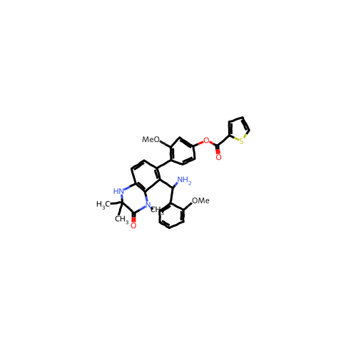 COc1cc(OC(=O)c2cccs2)ccc1-c1ccc2c(c1C(N)c1ccccc1OC)N(C)C(=O)C(C)(C)N2